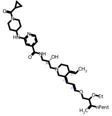 C=C(CCCCC)C(CO/C=C/C=C1/CN(C[C@@H](O)CNC(=O)c2ccnc(NC3CCN(C(=O)C4CC4)CC3)c2)CC/C1=C\C)OCC